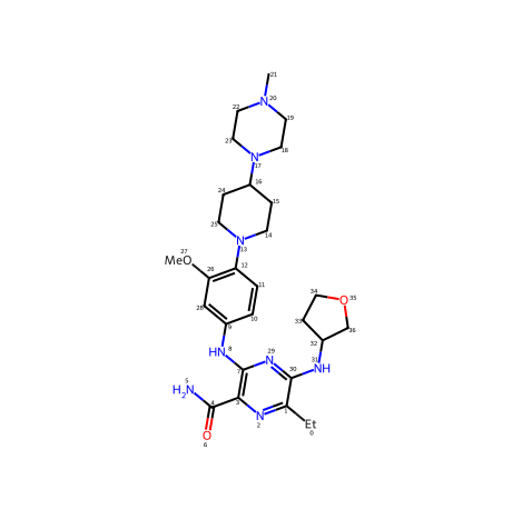 CCc1nc(C(N)=O)c(Nc2ccc(N3CCC(N4CCN(C)CC4)CC3)c(OC)c2)nc1NC1CCOC1